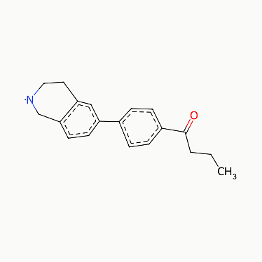 CCCC(=O)c1ccc(-c2ccc3c(c2)CC[N]C3)cc1